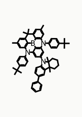 Cc1cc2c3c(c1)C(C)(C)c1cc(C)cc4c1B3c1c(cc(N3c5ccc(-c6ccccc6)cc5C5(C)CCCCC35C)cc1N4c1ccc(C(C)(C)C)cc1)N2c1ccc(C(C)(C)C)cc1